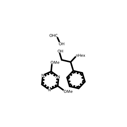 CCCCCCC(CO)c1ccccc1.COc1ncnc(OC)n1.O=CO